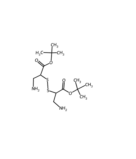 CC(C)(C)OC(=O)C(CN)SSC(CN)C(=O)OC(C)(C)C